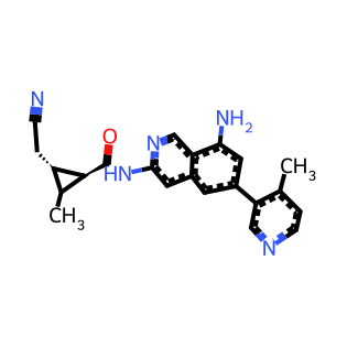 Cc1ccncc1-c1cc(N)c2cnc(NC(=O)[C@H]3C(C)[C@@H]3CC#N)cc2c1